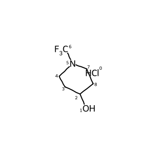 Cl.OC1CCN(C(F)(F)F)CC1